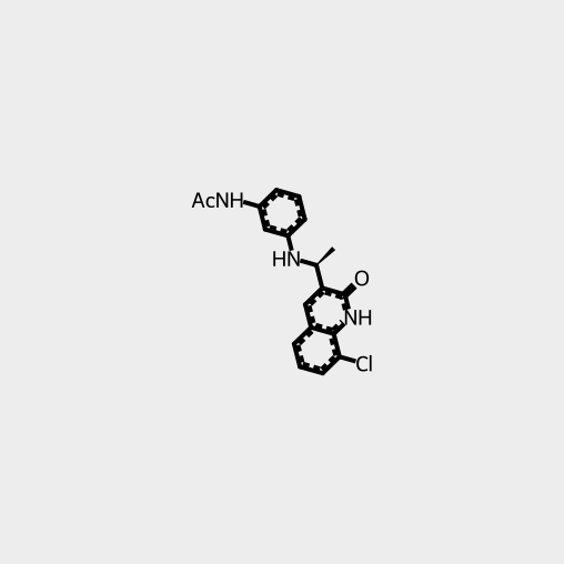 CC(=O)Nc1cccc(N[C@@H](C)c2cc3cccc(Cl)c3[nH]c2=O)c1